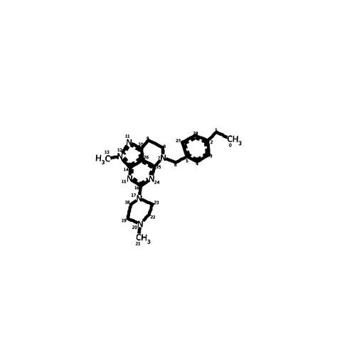 CCc1ccc(CN2CCc3nn(C)c4nc(N5CCN(C)CC5)nc2c34)cc1